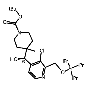 CC(C)[Si](OCc1nccc([C@@H](O)C2(C)CCN(C(=O)OC(C)(C)C)CC2)c1Cl)(C(C)C)C(C)C